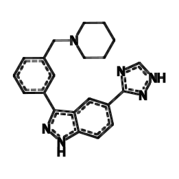 c1cc(CN2CCCCC2)cc(-c2n[nH]c3ccc(-c4nc[nH]n4)cc23)c1